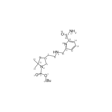 CC(C)(C)OC(=O)N1CC(CCNCc2cccc([S+](N)[O-])n2)CC1(C)C